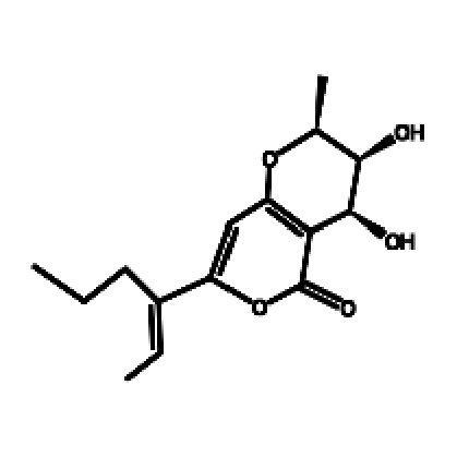 C/C=C(\CCC)c1cc2c(c(=O)o1)[C@H](O)[C@H](O)[C@H](C)O2